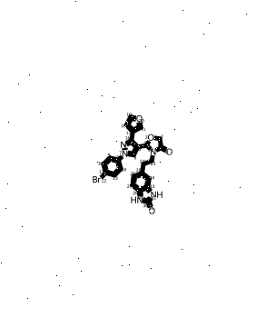 O=C1COC(c2cn(-c3ccc(Br)cc3)nc2-c2ccoc2)N1CCc1ccc2[nH]c(=O)[nH]c2c1